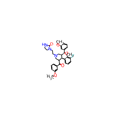 COc1cccc(C(=O)C2CN(CCN3CCNC3=O)CC(C(=O)c3cccc(OC)c3)C2c2cccc(F)c2C)c1